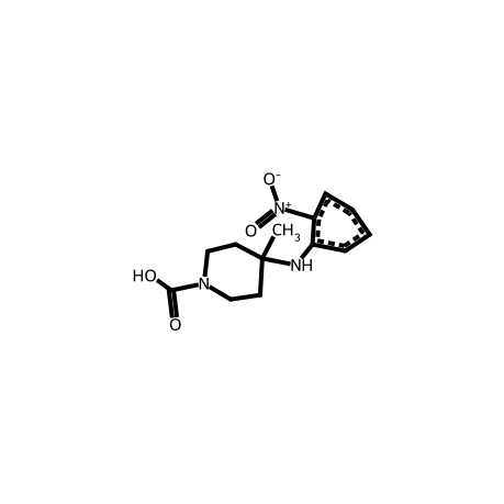 CC1(Nc2ccccc2[N+](=O)[O-])CCN(C(=O)O)CC1